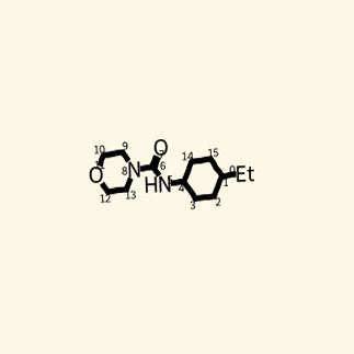 CCC1CCC(NC(=O)N2CCOCC2)CC1